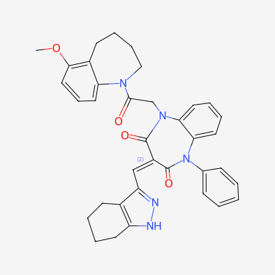 COc1cccc2c1CCCCN2C(=O)CN1C(=O)/C(=C/c2n[nH]c3c2CCCC3)C(=O)N(c2ccccc2)c2ccccc21